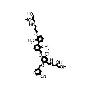 Cc1c(COc2cc(OCc3cncc(C#N)c3)c(CNCC(O)CO)cc2Cl)cccc1-c1cccc(OCCCNCC(O)CO)c1C